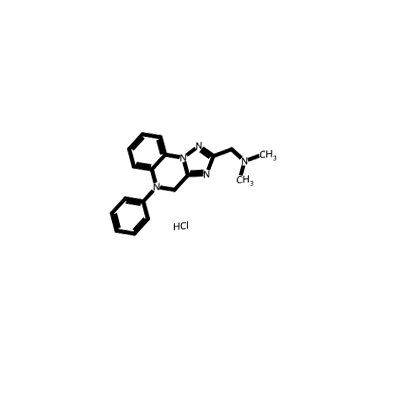 CN(C)Cc1nc2n(n1)-c1ccccc1N(c1ccccc1)C2.Cl